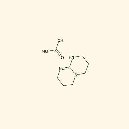 C1CN=C2NCCCN2C1.O=C(O)O